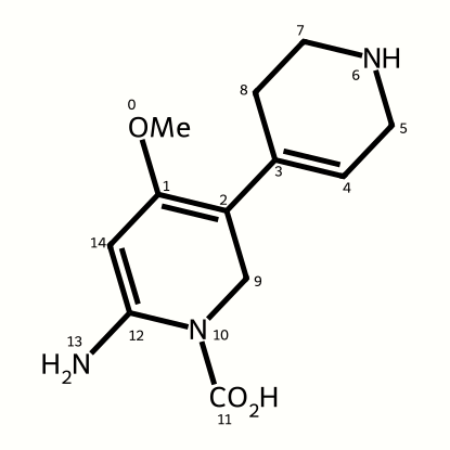 COC1=C(C2=CCNCC2)CN(C(=O)O)C(N)=C1